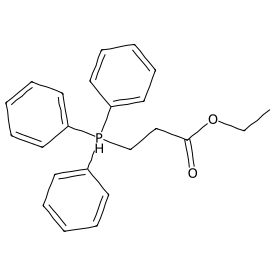 CCOC(=O)CC[PH](c1ccccc1)(c1ccccc1)c1ccccc1